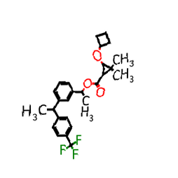 CC(OC(=O)C1C(OC2CCC2)C1(C)C)c1cccc(C(C)c2ccc(C(F)(F)F)cc2)c1